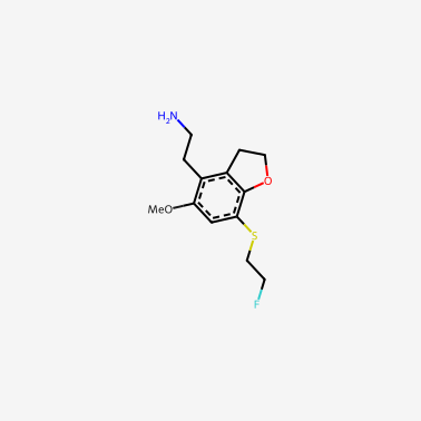 COc1cc(SCCF)c2c(c1CCN)CCO2